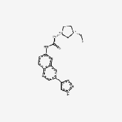 O=C(Nc1ccc2ncc(-c3cn[nH]c3)cc2n1)N[C@@H]1CC[C@H](CF)C1